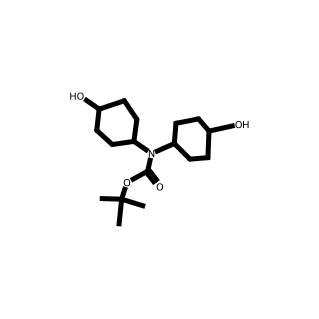 CC(C)(C)OC(=O)N(C1CCC(O)CC1)C1CCC(O)CC1